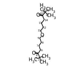 CC(C)(C)C(=O)CCCCOCCCCC(=O)C(C)(C)C